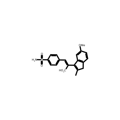 COc1ccc2c(c1)C(C(=Cc1ccc(S(N)(=O)=O)cc1)C(=O)O)=C(C)C2